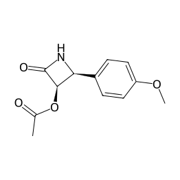 COc1ccc([C@@H]2NC(=O)[C@@H]2OC(C)=O)cc1